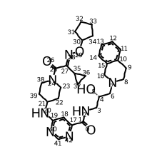 O=C(NC[C@H](O)CN1CCc2ccccc2C1)c1cc(NC2CCN(C(=O)/C(=N/OC3CCCC3)C3CC3)CC2)ncn1